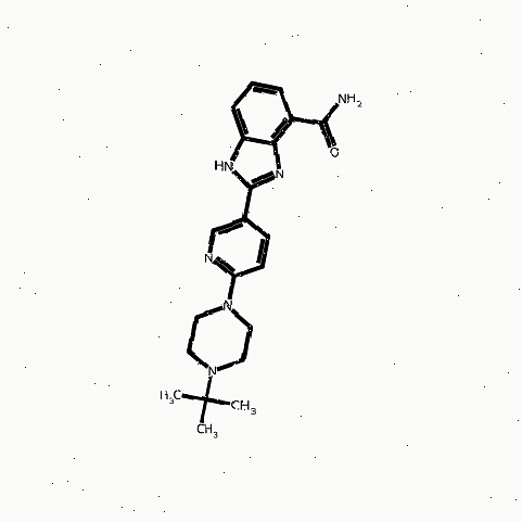 CC(C)(C)N1CCN(c2ccc(-c3nc4c(C(N)=O)cccc4[nH]3)cn2)CC1